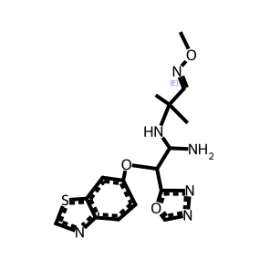 CO/N=C/C(C)(C)NC(N)C(Oc1ccc2ncsc2c1)c1nnco1